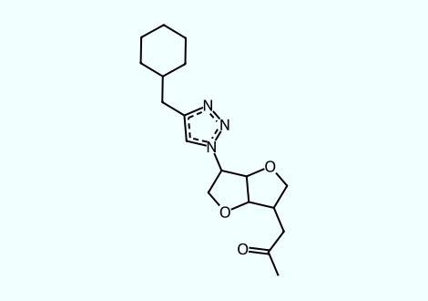 CC(=O)CC1COC2C1OCC2n1cc(CC2CCCCC2)nn1